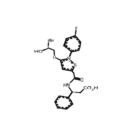 CC(C)(C)[C@H](O)COc1cc(C(=O)N[C@@H](CC(=O)O)c2ccccc2)nn1-c1ccc(F)cc1